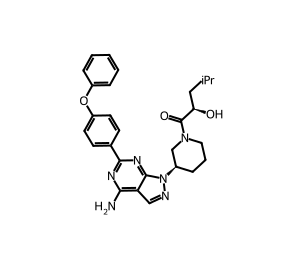 CC(C)C[C@@H](O)C(=O)N1CCC[C@@H](n2ncc3c(N)nc(-c4ccc(Oc5ccccc5)cc4)nc32)C1